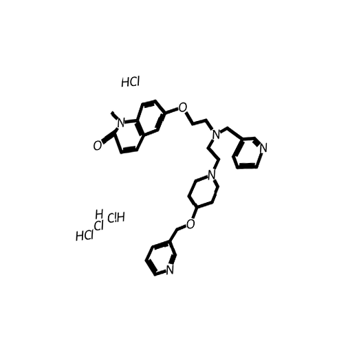 Cl.Cl.Cl.Cl.Cn1c(=O)ccc2cc(OCCN(CCN3CCC(OCc4cccnc4)CC3)Cc3cccnc3)ccc21